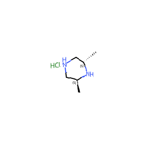 C[C@H]1CNC[C@H](C)N1.Cl